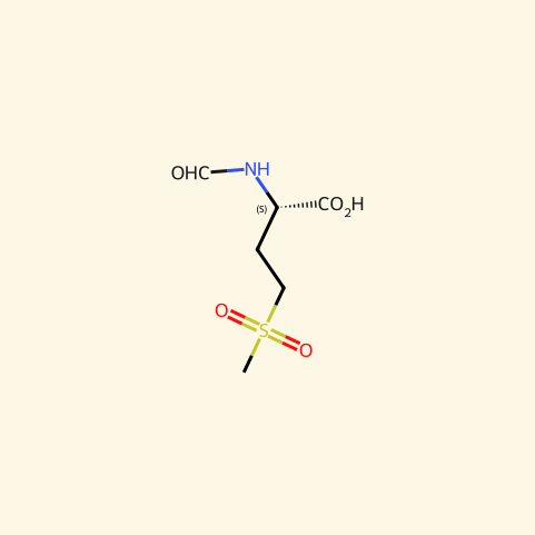 CS(=O)(=O)CC[C@H](NC=O)C(=O)O